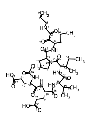 C=CCNC(=O)C(=O)C(CCC)NC(=O)[C@@H]1CCCN1C(=O)[C@@H](NC(=O)[C@@H](NC(=O)[C@H](CCC(=O)O)NC(=O)[C@H](CCC(=O)O)NC(C)=O)C(C)C)C(C)CC